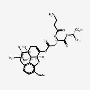 COc1ccc2c3c1O[C@@H]1C(OC(=O)C[C@H](OC(=O)CCN)C(=O)O[C@@H](C)C(=O)O)=CC[C@]4(O)[C@H](C2)N(C)CC[C@@]314